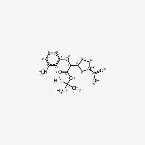 CC(C)(C)OC(=O)C(Oc1cccc(N)c1)[C@H]1CCN(C(=O)O)C1